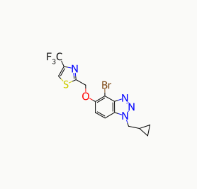 FC(F)(F)c1csc(COc2ccc3c(nnn3CC3CC3)c2Br)n1